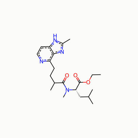 CCOC(=O)[C@H](CC(C)C)N(C)C(=O)C(C)CCc1nccc2[nH]c(C)nc12